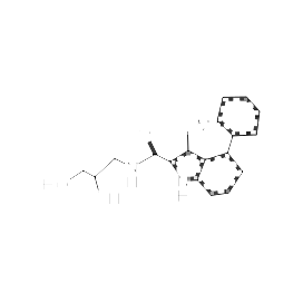 COc1c(C(=O)NCC(O)CO)[nH]c2cccc(-c3ccccc3)c12